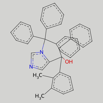 Cc1cccc(C(O)(Cc2ccccc2)c2cncn2C(c2ccccc2)(c2ccccc2)c2ccccc2)c1C